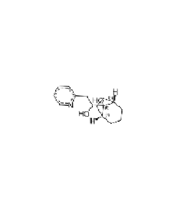 OC(Cc1ccccn1)[C@]1(O)[C@@H]2CCC[C@H]1CC2